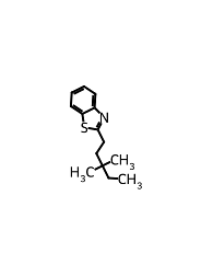 CCC(C)(C)CCc1nc2ccccc2s1